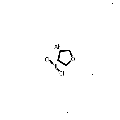 C1CCOC1.[Al].[Cl][Ni][Cl]